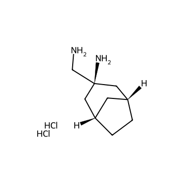 Cl.Cl.NC[C@]1(N)C[C@@H]2CC[C@@H](C2)C1